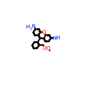 COOCc1ccccc1-c1c2ccc(=N)cc-2oc2cc(N)ccc12